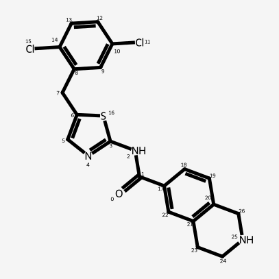 O=C(Nc1ncc(Cc2cc(Cl)ccc2Cl)s1)c1ccc2c(c1)CCNC2